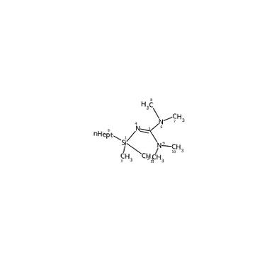 CCCCCCC[Si](C)(C)N=C(N(C)C)N(C)C